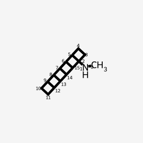 CNC12CCC1C1C3C4C5CCC5C4C3C12